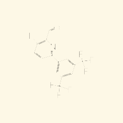 O=Cc1nc(-c2cc(C(F)(F)F)cc(C(F)(F)F)c2)ccc1F